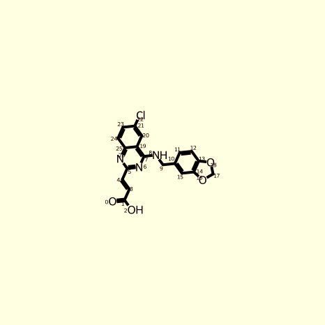 O=C(O)/C=C/c1nc(NCc2ccc3c(c2)OCO3)c2cc(Cl)ccc2n1